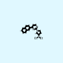 CCN(CC)C1CCN(c2nccc(-c3ccc4ccccc4c3)n2)C1